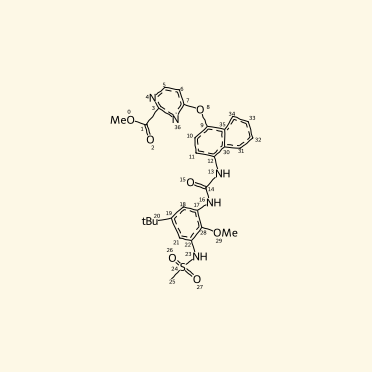 COC(=O)c1nccc(Oc2ccc(NC(=O)Nc3cc(C(C)(C)C)cc(NS(C)(=O)=O)c3OC)c3ccccc23)n1